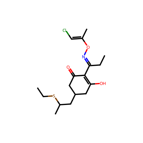 CCSC(C)CC1CC(=O)C(C(CC)=NOC(C)=CCl)=C(O)C1